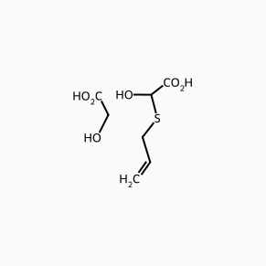 C=CCSC(O)C(=O)O.O=C(O)CO